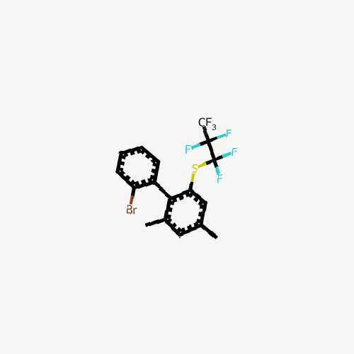 Cc1[c]c(C)c(-c2ccccc2Br)c(SC(F)(F)C(F)(F)C(F)(F)F)c1